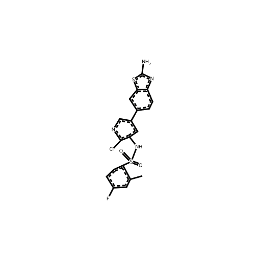 Cc1cc(F)ccc1S(=O)(=O)Nc1cc(-c2ccc3nc(N)sc3c2)cnc1Cl